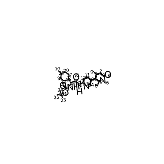 Cc1cc(=O)n(C)c(C)c1-c1ccc(NC(=O)[C@@H](NC(=O)OC(C)(C)C)C2CCC(C)CC2)nc1